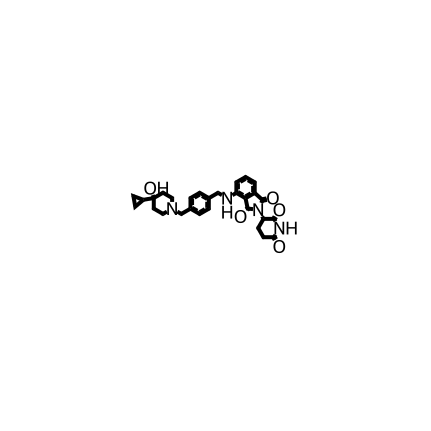 O=C1CCC(N2C(=O)c3cccc(NCc4ccc(CN5CCC(O)(C6CC6)CC5)cc4)c3C2=O)C(=O)N1